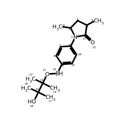 CC1CC(C)N(c2ccc(BOC(C)(C)C(C)(C)O)cc2)C1=O